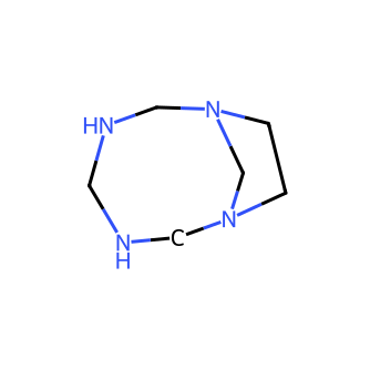 C1NCN2CCN(CN1)C2